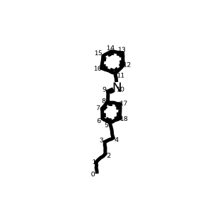 CCCCCc1ccc(C=Nc2ccccc2)cc1